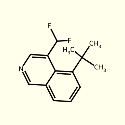 CC(C)(C)c1cccc2cncc(C(F)F)c12